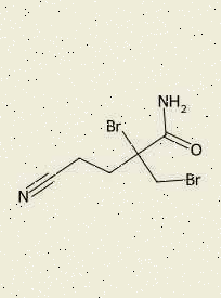 N#CCCC(Br)(CBr)C(N)=O